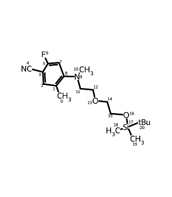 Cc1cc(C#N)c(F)cc1N(C)CCOCCO[Si](C)(C)C(C)(C)C